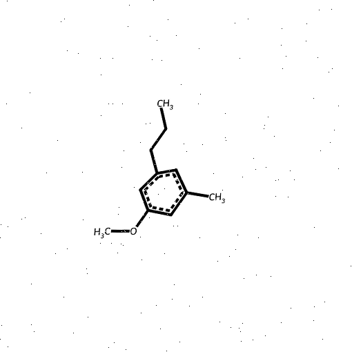 CCCc1cc(C)cc(OC)c1